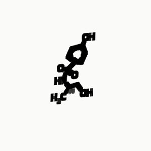 C[C@H](CO)NS(=O)(=O)c1ccc(O)cc1